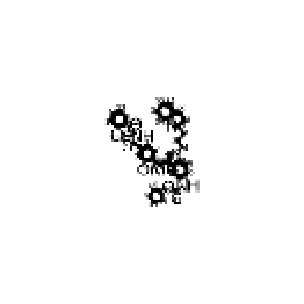 COc1cc(C(=O)NS(=O)(=O)c2ccccc2C)ccc1Cc1cn(CCCc2ccc3ccccc3n2)c2ccc(NC(=O)OC3CCCC3)cc12